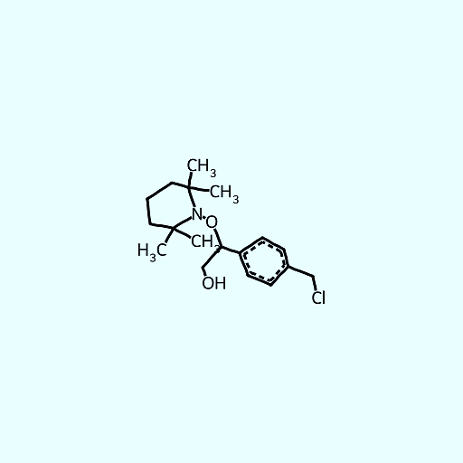 CC1(C)CCCC(C)(C)N1OC(CO)c1ccc(CCl)cc1